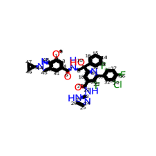 COc1cc(C(=O)NC[C@@](O)(c2ccccc2)c2cc(C(=O)Nc3ncc[nH]3)c(F)c(-c3cc(Cl)c(F)cc3F)n2)cc2cn(C3CC3)nc12